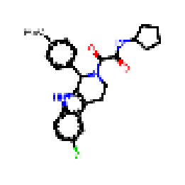 COc1ccc(C2c3[nH]c4ccc(Cl)cc4c3CCN2C(=O)C(=O)NC2CCCC2)cc1